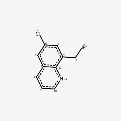 CC(C)Cc1cc(Cl)cc2cccnc12